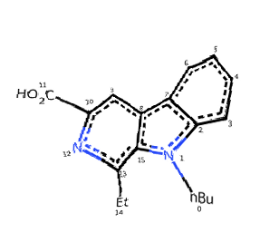 CCCCn1c2ccccc2c2cc(C(=O)O)nc(CC)c21